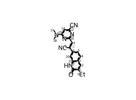 CCc1cc2ccc(/C(C#N)=C/c3nc(C#N)cc(N(C)C)n3)cc2[nH]c1=O